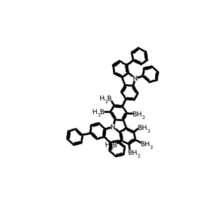 Bc1c(B)c(B)c2c(c1B)c1c(B)c(-c3ccc4c(c3)c3cccc(-c5ccccc5)c3n4-c3ccccc3)c(B)c(B)c1n2-c1ccc(-c2ccccc2)cc1-c1ccccc1